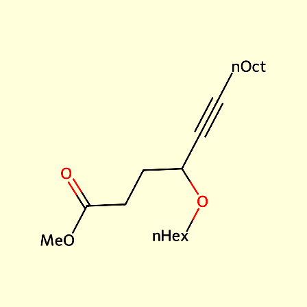 CCCCCCCCC#CC(CCC(=O)OC)OCCCCCC